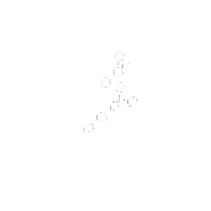 c1ccc(-c2ccc(-c3ccc(N(c4ccccc4)c4ccc(-c5cc6oc7ccccc7c6cc5-c5ccccc5)cc4)cc3)cc2)cc1